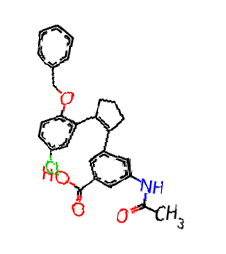 CC(=O)Nc1cc(C(=O)O)cc(C2=C(c3cc(Cl)ccc3OCc3ccccc3)CCC2)c1